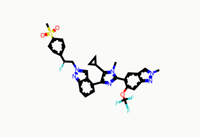 Cn1cc2cc(-c3nc(-c4cccc5nn(C[C@@H](F)c6ccc(S(C)(=O)=O)cc6)cc45)c(C4CC4)n3C)c(OC(F)(F)F)cc2n1